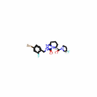 O=C([C@@H]1CCCc2nn(Cc3ccc(Br)cc3F)c(=O)n21)N1CC[C@H](F)C1